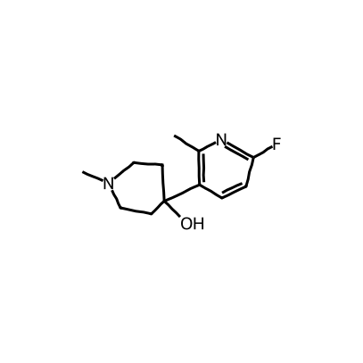 Cc1nc(F)ccc1C1(O)CCN(C)CC1